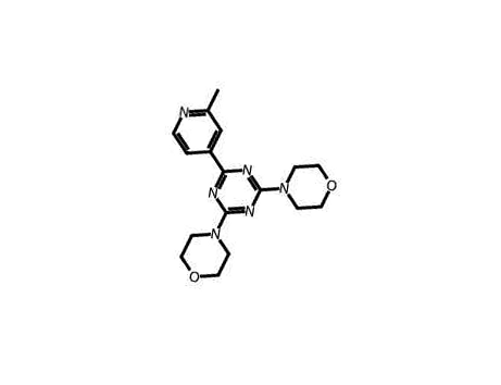 Cc1cc(-c2nc(N3CCOCC3)nc(N3CCOCC3)n2)ccn1